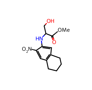 COC(=O)C(CO)Nc1cc2c(cc1[N+](=O)[O-])CCCC2